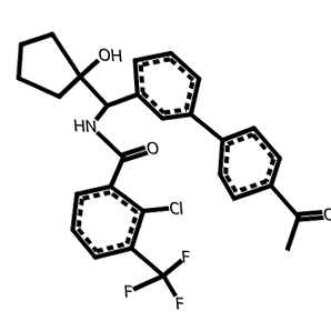 CC(=O)c1ccc(-c2cccc(C(NC(=O)c3cccc(C(F)(F)F)c3Cl)C3(O)CCCC3)c2)cc1